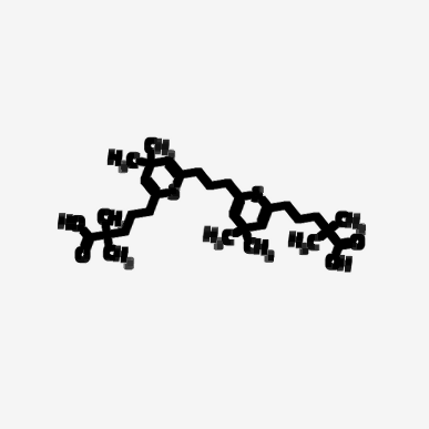 CC1(C)C=C(CCCC2=CC(C)(C)C=C(CCCC(C)(C)C(=O)O)S2)SC(CCCC(C)(C)C(=O)O)=C1